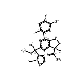 Cn1nccc1[C@](O)(CN)c1cc2c(c(-c3cc(Cl)c(F)cc3F)n1)OC[C@]2(C)C(N)=O